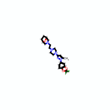 Cc1cc(N2CCN(CCN3CC4CCC(C3)O4)CC2)nn1-c1ccc2c(c1)OC(F)(F)O2